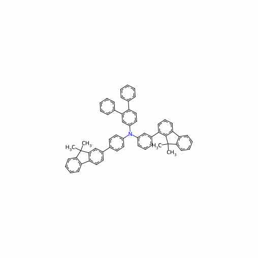 CC1(C)c2ccccc2-c2ccc(-c3ccc(N(c4cccc(-c5cccc6c5C(C)(C)c5ccccc5-6)c4)c4ccc(-c5ccccc5)c(-c5ccccc5)c4)cc3)cc21